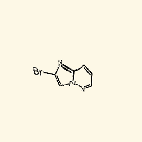 Brc1cn2ncccc2n1